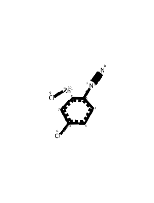 N#[N+]c1ccc(Cl)cc1.[Cl][Zn-]